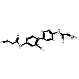 C=CCC(=O)Oc1ccc(-c2ccc(OC(=O)C=C)cc2)c(F)c1